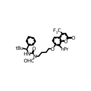 CCCc1c(OCCCCN(C=O)C(=O)NC(c2ccccc2)C(C)(C)C)ccc2c(C(F)(F)F)cc(=O)oc12